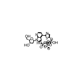 O=P(O)(O)OP(=O)(O)OP(=O)(O)Oc1cnc(-c2ccnc3c2ccn3[C@H]2C[C@H](O)[C@@H](CO)O2)s1